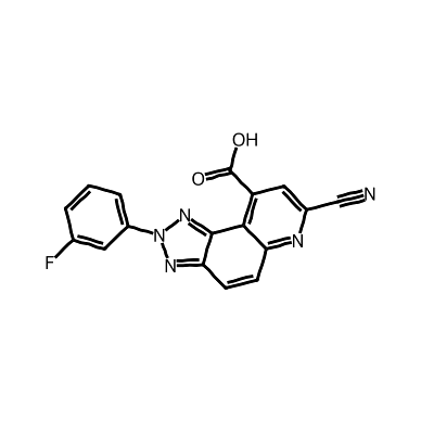 N#Cc1cc(C(=O)O)c2c(ccc3nn(-c4cccc(F)c4)nc32)n1